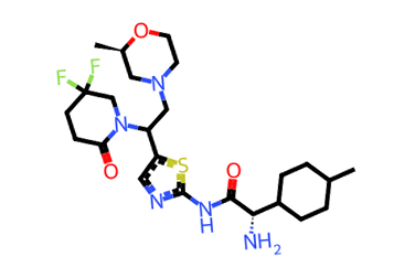 CC1CCC([C@H](N)C(=O)Nc2ncc(C(CN3CCO[C@H](C)C3)N3CC(F)(F)CCC3=O)s2)CC1